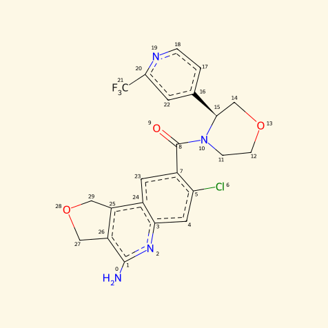 Nc1nc2cc(Cl)c(C(=O)N3CCOC[C@@H]3c3ccnc(C(F)(F)F)c3)cc2c2c1COC2